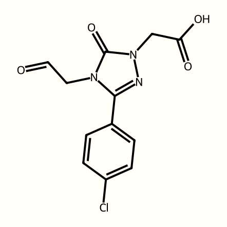 O=CCn1c(-c2ccc(Cl)cc2)nn(CC(=O)O)c1=O